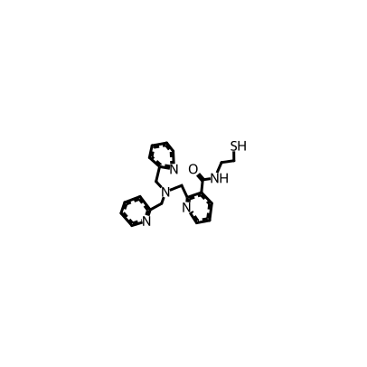 O=C(NCCS)c1cccnc1CN(Cc1ccccn1)Cc1ccccn1